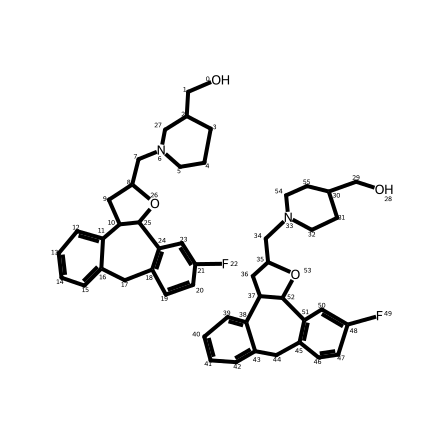 OCC1CCCN(CC2CC3c4ccccc4Cc4ccc(F)cc4C3O2)C1.OCC1CCN(CC2CC3c4ccccc4Cc4ccc(F)cc4C3O2)CC1